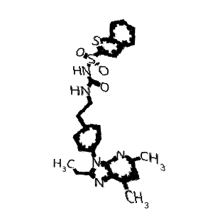 CCc1nc2c(C)cc(C)nc2n1-c1ccc(CCNC(=O)NS(=O)(=O)c2cc3ccccc3s2)cc1